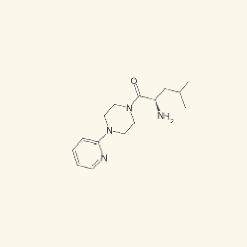 CC(C)C[C@@H](N)C(=O)N1CCN(c2ccccn2)CC1